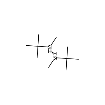 C[SiH]([SiH](C)C(C)(C)C)C(C)(C)C